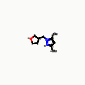 CC(C)(C)c1cc(C(C)(C)C)n(CC2CCOC2)n1